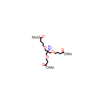 COC(=O)CCCOCC(N)(COCCCC(=O)OC)COCCC(=O)OC